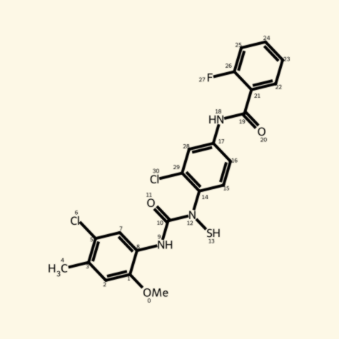 COc1cc(C)c(Cl)cc1NC(=O)N(S)c1ccc(NC(=O)c2ccccc2F)cc1Cl